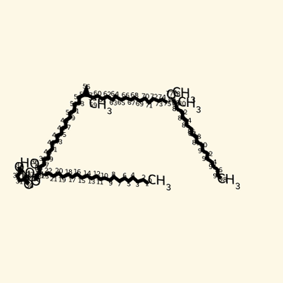 CCCCCCCCCCCCCCCCCCCCCCCC[C@@H](C(=O)ON1C(=O)CCC1=O)[C@H](O)CCCCCCCCCCCCCCCCCCC1CC1C(C)CCCCCCCCCCCCCCCC[C@H](OC)[C@@H](C)CCCCCCCCCCCCCCCCCC